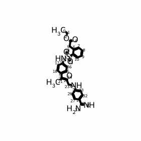 CCOC(=O)Cc1ccccc1S(=O)(=O)Nc1ccc2c(C)c(CNc3ccc(C(=N)N)cc3)oc2c1